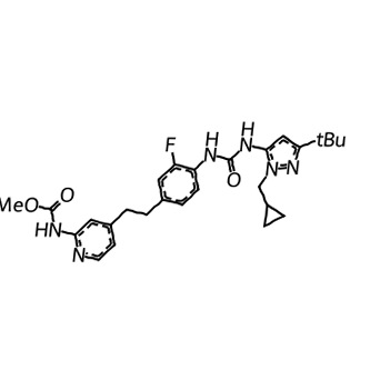 COC(=O)Nc1cc(CCc2ccc(NC(=O)Nc3cc(C(C)(C)C)nn3CC3CC3)c(F)c2)ccn1